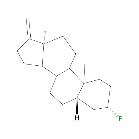 C=C1CCC2C3CC[C@H]4C[C@@H](F)CCC4(C)C3CC[C@]12C